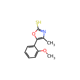 COc1ccccc1-c1oc(S)nc1C